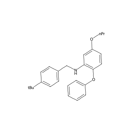 CCCOc1ccc(Oc2ccccc2)c(NCc2ccc(C(C)(C)C)cc2)c1